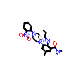 CCCNc1c(C(=O)N(C)C)cc(C)cc1N1CCN(c2ccccc2[N+](=O)[O-])CC1